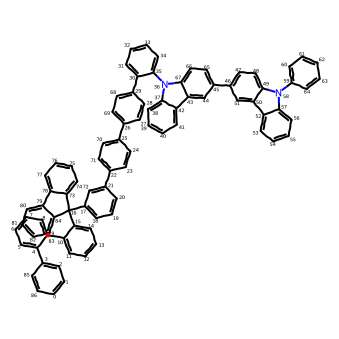 c1ccc(-c2ccccc2-c2ccccc2C2(c3cccc(-c4ccc(-c5ccc(-c6ccccc6-n6c7ccccc7c7cc(-c8ccc9c(c8)c8ccccc8n9-c8ccccc8)ccc76)cc5)cc4)c3)c3ccccc3-c3ccccc32)cc1